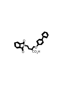 O=C(O)C(CCN1C(=O)c2ccccc2C1=O)COc1ccc(-c2ccccc2)cc1